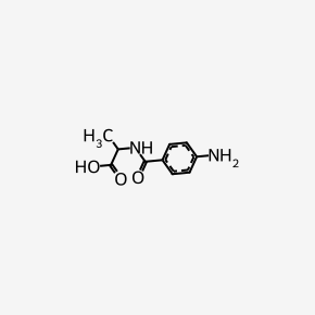 CC(NC(=O)c1ccc(N)cc1)C(=O)O